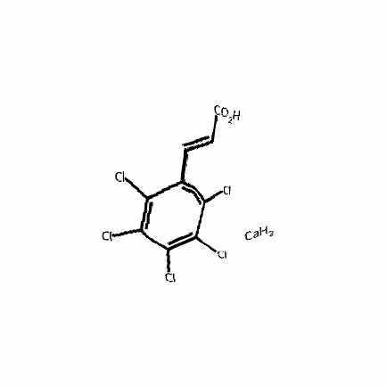 O=C(O)C=Cc1c(Cl)c(Cl)c(Cl)c(Cl)c1Cl.[CaH2]